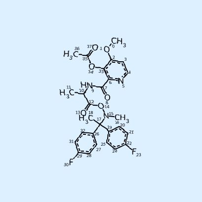 COc1ccnc(C(=O)NC(C)C(=O)ON(C)C(C)(c2ccc(F)cc2)c2ccc(F)cc2)c1OC(C)=O